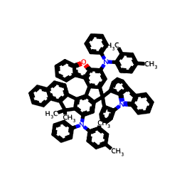 Cc1ccc(N(c2ccccc2)c2cc3c(c4c2C(C)(C)c2c-4ccc4ccccc24)-c2c(cc(N(c4ccccc4)c4ccc(C)cc4C)c4oc5ccccc5c24)C32c3ccccc3-n3c4ccccc4c4cccc2c43)c(C)c1